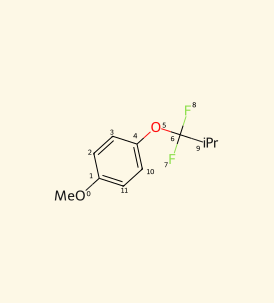 COc1ccc(OC(F)(F)C(C)C)cc1